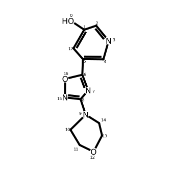 Oc1cncc(-c2nc(N3CCOCC3)no2)c1